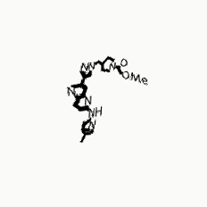 COCC(=O)N1CCC(Cn2cc(-c3cnc4ccc(Nc5cc6cn5CC6C)nc4c3)cn2)CC1